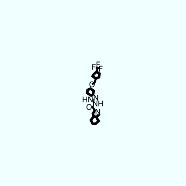 O=C(Nc1nc2cc(OCc3ccc(C(F)(F)F)cc3)ccc2[nH]1)c1cc2ccccc2cn1